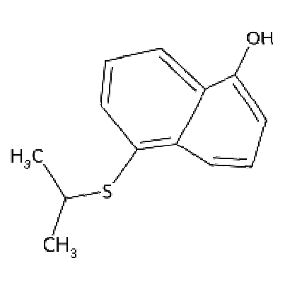 CC(C)Sc1cccc2c(O)cccc12